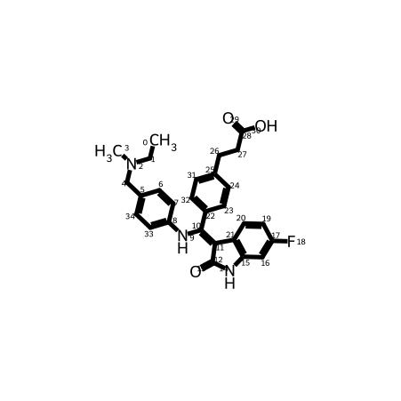 CCN(C)Cc1ccc(N/C(=C2\C(=O)Nc3cc(F)ccc32)c2ccc(CCC(=O)O)cc2)cc1